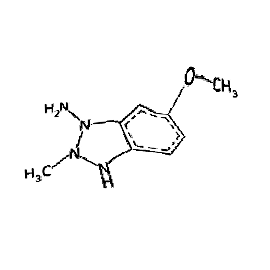 COc1ccc2c(c1)N(N)N(C)N2